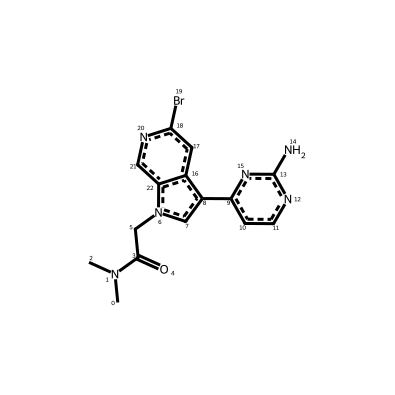 CN(C)C(=O)Cn1cc(-c2ccnc(N)n2)c2cc(Br)ncc21